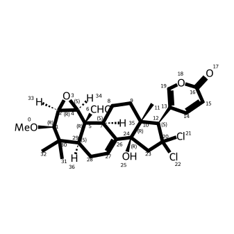 CO[C@H]1[C@H]2O[C@H]2[C@]2(C=O)[C@H]3CC[C@]4(C)[C@@H](c5ccc(=O)oc5)C(Cl)(Cl)C[C@]4(O)C3=CC[C@H]2C1(C)C